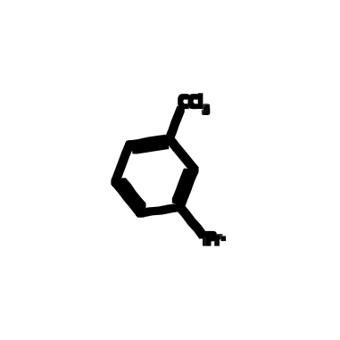 C[C](C)c1cccc(C(Cl)(Cl)Cl)c1